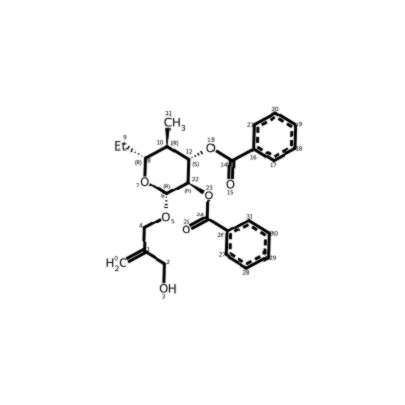 C=C(CO)CO[C@@H]1O[C@H](CC)[C@@H](C)[C@H](OC(=O)c2ccccc2)[C@H]1OC(=O)c1ccccc1